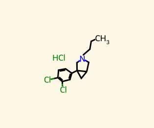 CCCCN1CC2CC2(c2ccc(Cl)c(Cl)c2)C1.Cl